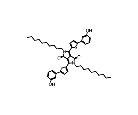 CCCCCCCCCCN1C(=O)C2=C(c3ccc(-c4cccc(O)c4)s3)N(CCCCCCCCCC)C(=O)C2=C1c1ccc(-c2cccc(O)c2)s1